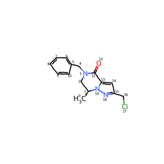 C[C@H]1CN(Cc2ccccc2)C(=O)c2cc(CCl)nn21